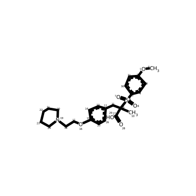 COc1ccc(S(=O)(=O)C(C)(Cc2ccc(OCCN3CCCCC3)cc2)C(=O)O)cc1